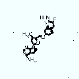 CC1CC(n2ccc3c(N)ncnc32)OC1COc1ccc2cc(F)c(N)nc2c1